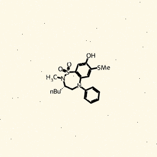 CCCC[C@H]1CN(c2ccccc2)c2cc(SC)c(O)cc2S(=O)(=O)N1C